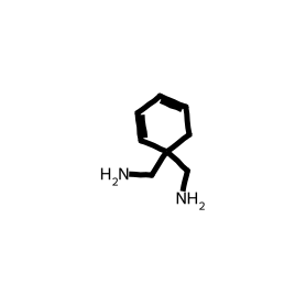 NCC1(CN)C=CC=CC1